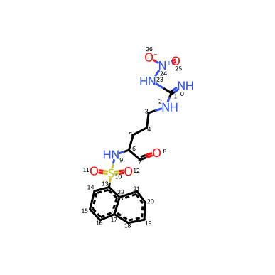 N=C(NCCCC(C=O)NS(=O)(=O)c1cccc2ccccc12)N[N+](=O)[O-]